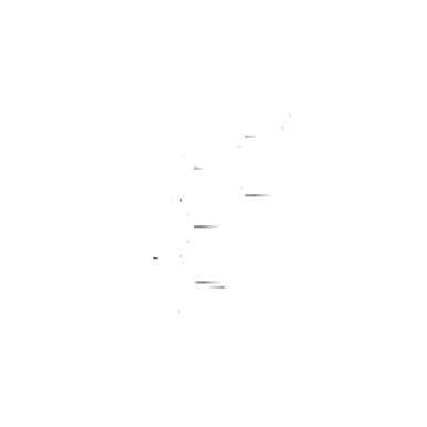 CC1=C([C@H](C)C(N)=O)NC(=O)N(CCCl)C1C